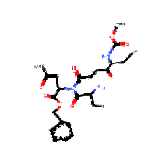 COC(=O)CC(C(=O)OCc1ccccc1)N(C(=O)CCC(=O)[C@H](CC(C)C)NC(=O)OC(C)(C)C)C(=O)C(N)CC(C)C